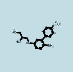 Nc1ccc(NCC(O)CO)cc1-c1ccc(C(=O)O)cc1